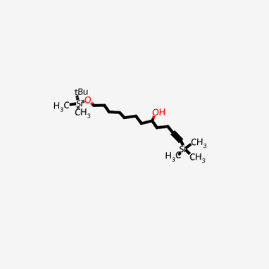 CC(C)(C)[Si](C)(C)OCCCCCCCC(O)CCC#C[Si](C)(C)C